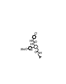 COc1ccc(C2CN(CC(=O)NCC3CC3)CCC2NC(=O)Nc2ccc(Cl)cc2)nc1